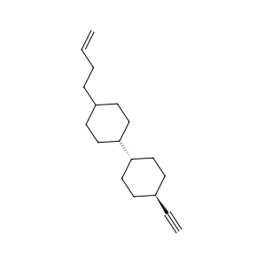 C#C[C@H]1CC[C@H](C2CCC(CCC=C)CC2)CC1